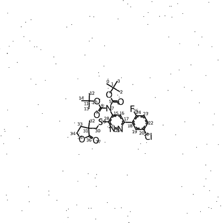 CC(C)(C)OC(=O)N(C(=O)OC(C)(C)C)c1cc(-c2cc(Cl)ccc2F)nnc1SCC1(C)CCOC1=O